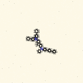 CC1(C)c2cc(N(c3ccccc3)c3ccc(-c4ccc(-c5ccccc5)cc4)cc3)ccc2-c2ccc(-n3c4ccc(C5CCCCC5)cc4c4cc(C5CCCCC5)ccc43)cc21